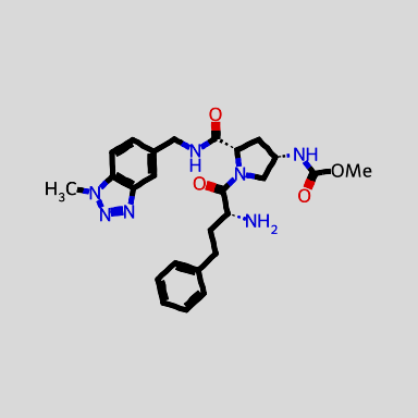 COC(=O)N[C@H]1C[C@@H](C(=O)NCc2ccc3c(c2)nnn3C)N(C(=O)[C@H](N)CCc2ccccc2)C1